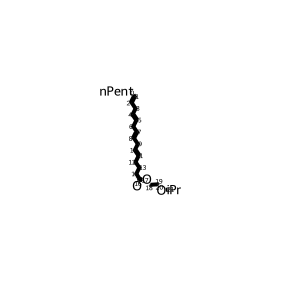 CCCCCC=CCC=CCC=CCC=CCCCC(=O)OCCOC(C)C